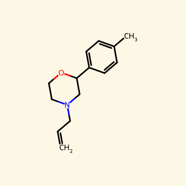 C=CCN1CCOC(c2ccc(C)cc2)C1